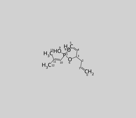 C=CCC(C=C)OP(=O)(O)C=C(C)C